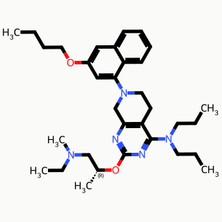 CCCCOc1cc(N2CCc3c(nc(O[C@H](C)CN(C)CC)nc3N(CCC)CCC)C2)c2ccccc2c1